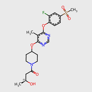 Cc1c(Oc2ccc(S(C)(=O)=O)cc2F)ncnc1OC1CCN(C(=O)C[C@H](C)O)CC1